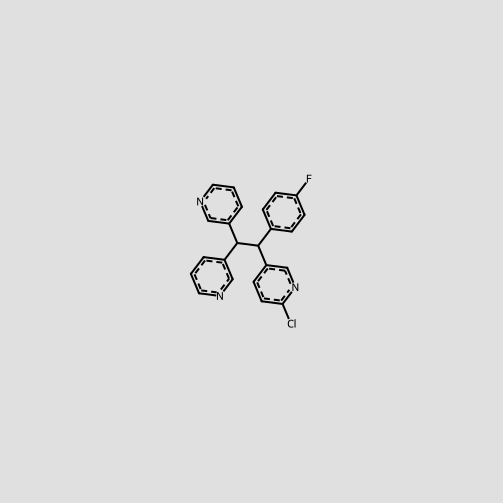 Fc1ccc(C(c2ccc(Cl)nc2)C(c2cccnc2)c2cccnc2)cc1